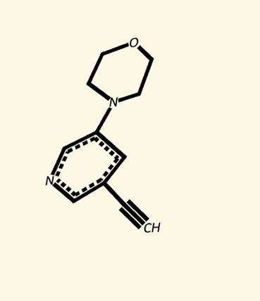 C#Cc1cncc(N2CCOCC2)c1